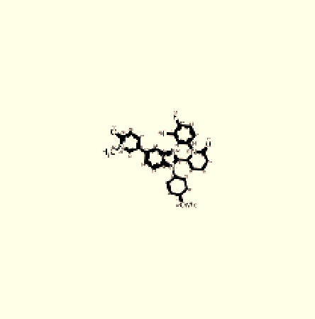 COC1CCC(n2c(C3CCCC(=O)N3c3ccc(F)c(F)c3)nc3cc(-c4ccc(=O)n(C)c4)ccc32)CC1